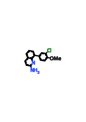 COc1ccc(-c2cccc3ccc(N)nc23)cc1Cl